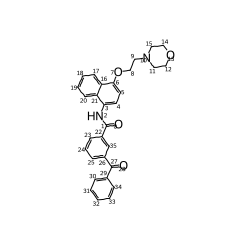 O=C(Nc1ccc(OCCN2CCOCC2)c2ccccc12)c1cccc(C(=O)c2ccccc2)c1